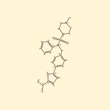 CN1CCN(S(=O)(=O)N(Cc2ccc(-c3nnc(C(F)F)o3)cn2)c2ccccc2)CC1